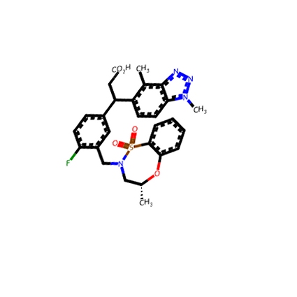 Cc1c(C(CC(=O)O)c2ccc(F)c(CN3C[C@@H](C)Oc4ccccc4S3(=O)=O)c2)ccc2c1nnn2C